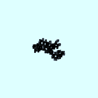 CC(C)C(O)CN(Cc1cccc(OC(F)(F)C(F)F)c1)c1cccc(OCc2cccc(C(F)(F)F)c2)c1